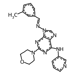 Cc1cccc(C=Nn2cnc3c(Nc4cccnc4)nc(N4CCOCC4)nc32)c1